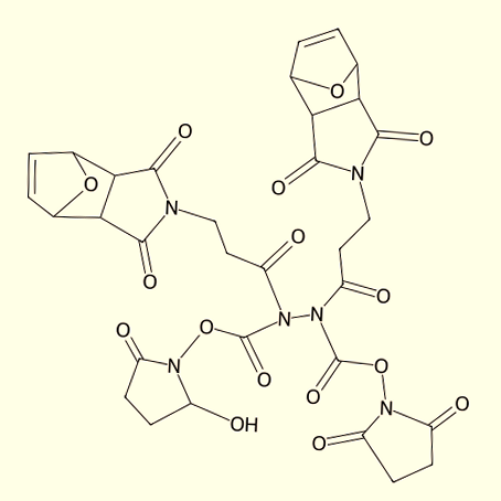 O=C1C2C3C=CC(O3)C2C(=O)N1CCC(=O)N(C(=O)ON1C(=O)CCC1=O)N(C(=O)CCN1C(=O)C2C3C=CC(O3)C2C1=O)C(=O)ON1C(=O)CCC1O